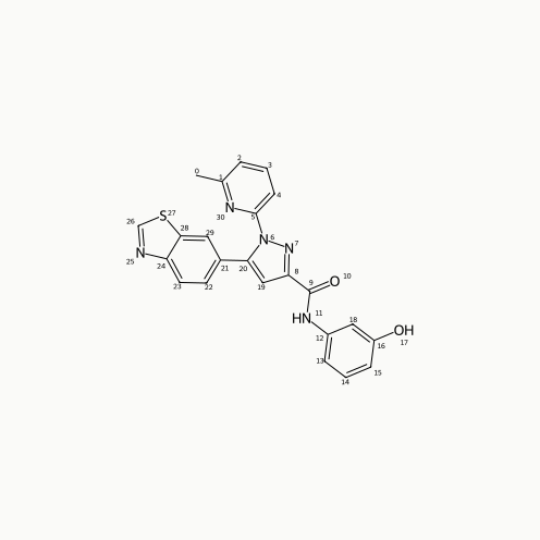 Cc1cccc(-n2nc(C(=O)Nc3cccc(O)c3)cc2-c2ccc3ncsc3c2)n1